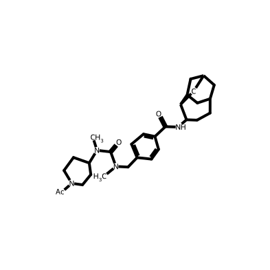 CC(=O)N1CCC(N(C)C(=O)N(C)Cc2ccc(C(=O)NC3CCC4CC5CC(C4)C3C5)cc2)CC1